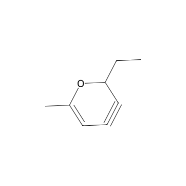 CCC1C#CC=C(C)O1